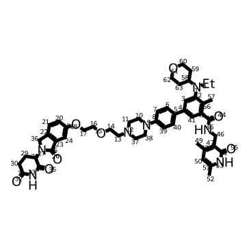 CCN(c1cc(-c2ccc(N3CCN(CCOCCOc4ccc5c(c4)C(=O)N(C4CCC(=O)NC4=O)C5)CC3)cc2)cc(C(=O)NCc2c(C)cc(C)[nH]c2=O)c1C)C1CCOCC1